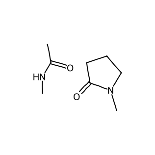 CN1CCCC1=O.CNC(C)=O